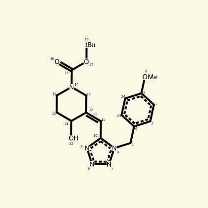 COc1ccc(Cn2nnnc2/C=C2/CN(C(=O)OC(C)(C)C)CCC2O)cc1